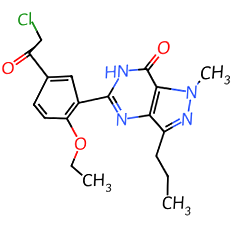 CCCc1nn(C)c2c(=O)[nH]c(-c3cc(C(=O)CCl)ccc3OCC)nc12